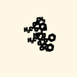 COc1ccnc(C(=O)N[C@@H](C)C(=O)O[C@@H](C)[C@H](Oc2ccccc2)c2ccccc2)c1OC(C)=O